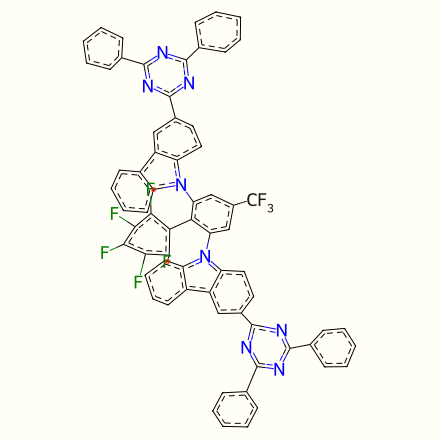 Fc1c(F)c(F)c(-c2c(-n3c4ccccc4c4cc(-c5nc(-c6ccccc6)nc(-c6ccccc6)n5)ccc43)cc(C(F)(F)F)cc2-n2c3ccccc3c3cc(-c4nc(-c5ccccc5)nc(-c5ccccc5)n4)ccc32)c(F)c1F